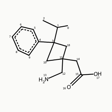 CC(C)C1(c2ccccc2)CC(CN)(CC(=O)O)C1